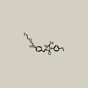 CCc1ccc(N2C(=O)C(=Cc3ccc(NCCOCCF)cc3)N(C)C2=[Se])cc1